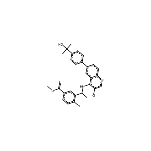 COC(=O)c1ccc(F)c(C(C)Nc2c(Cl)cnc3ccc(-c4cnc(C(C)(C)O)nc4)cc23)c1